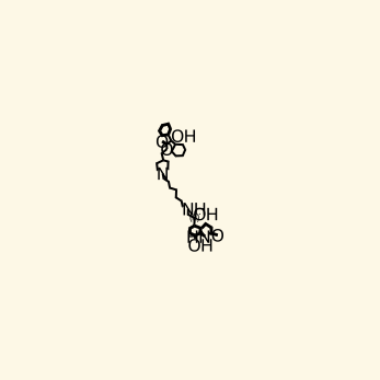 O=C(OCC1CCN(CCCCCCCNC[C@H](O)c2ccc(O)c3[nH]c(=O)ccc23)CC1)C(O)(c1ccccc1)C1CCCCC1